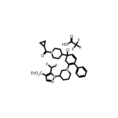 CCOC(=O)c1cnn(C2CCCN(C3=C(c4ccccc4)C=CC(Cl)(C4CCN(C(=O)C5CC5)CC4)C3)C2)c1C(F)F.O=C(O)C(F)(F)F